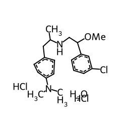 COC(CNC(C)Cc1ccc(N(C)C)cc1)c1cccc(Cl)c1.Cl.Cl.O